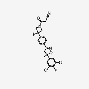 CC1(c2cc(Cl)c(F)c(Cl)c2)CC(c2ccc(C3(F)CN(C(=O)CC#N)C3)cc2)=NO1